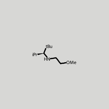 COCCN[C@@H](C(C)C)C(C)(C)C